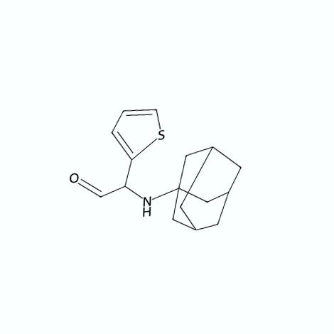 O=CC(NC12CC3CC(CC(C3)C1)C2)c1cccs1